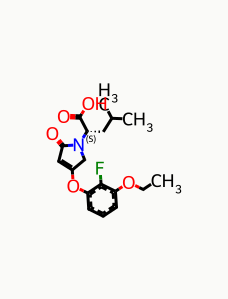 CCOc1cccc(OC2=CC(=O)N([C@@H](CC(C)C)C(=O)O)C2)c1F